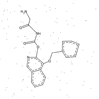 NCC(=O)NC(=O)Oc1ncc2ccccc2c1OCc1ccccc1